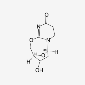 O=C1CCN2C(=N1)OC[C@H]1O[C@@H]2CC1O